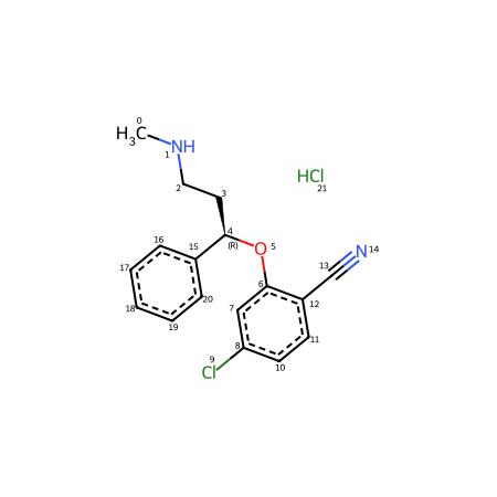 CNCC[C@@H](Oc1cc(Cl)ccc1C#N)c1ccccc1.Cl